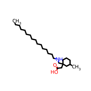 CCCCCCCCCCCCCCCCNCC1(CC(=O)O)CCCC(C)C1